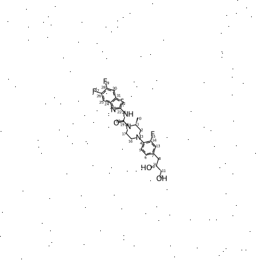 C[C@H]1CN(c2ccc(C[C@@H](O)CO)cc2F)CCN1C(=O)Nc1nc2cc(F)c(F)cc2s1